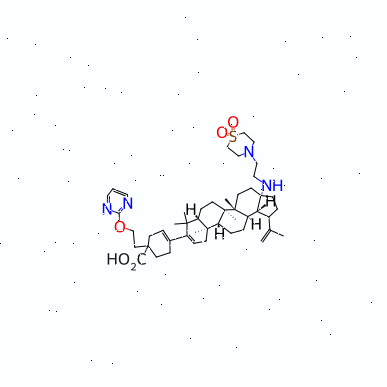 C=C(C)C1CC[C@]2(NCCN3CCS(=O)(=O)CC3)CC[C@]3(C)[C@H](CC[C@@H]4[C@@]5(C)CC=C(C6=CCC(CCOc7ncccn7)(C(=O)O)CC6)C(C)(C)[C@@H]5CC[C@]43C)[C@@H]12